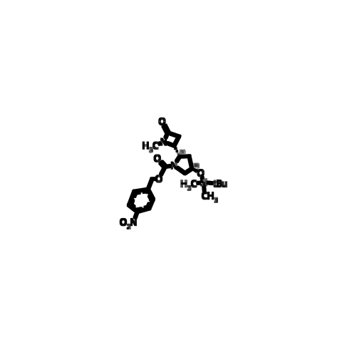 CN1C(=O)CC1[C@@H]1C[C@@H](O[Si](C)(C)C(C)(C)C)CN1C(=O)OCc1ccc([N+](=O)[O-])cc1